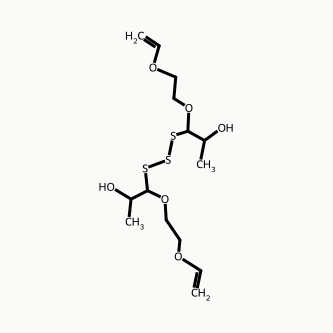 C=COCCOC(SSSC(OCCOC=C)C(C)O)C(C)O